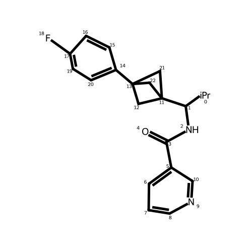 CC(C)C(NC(=O)c1cccnc1)C12CC(c3ccc(F)cc3)(C1)C2